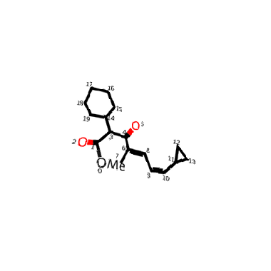 COC(=O)C(C(=O)/C(C)=C/C=C\C1CC1)C1CCCCC1